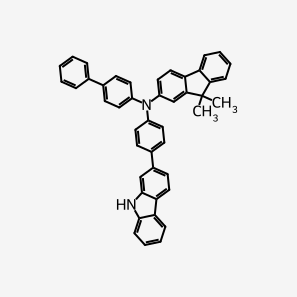 CC1(C)c2ccccc2-c2ccc(N(c3ccc(-c4ccccc4)cc3)c3ccc(-c4ccc5c(c4)[nH]c4ccccc45)cc3)cc21